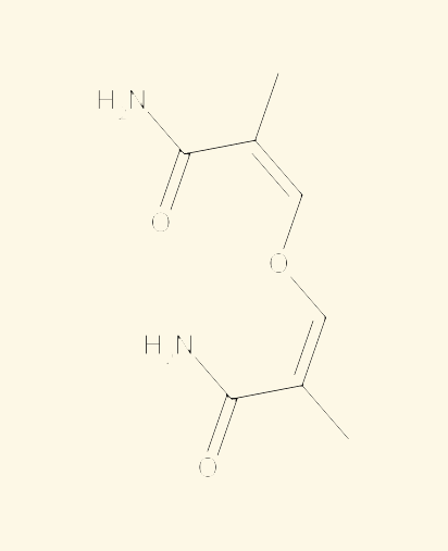 CC(=COC=C(C)C(N)=O)C(N)=O